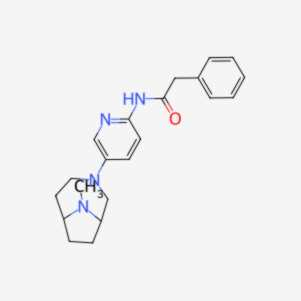 CN1C2CCC1CN(c1ccc(NC(=O)Cc3ccccc3)nc1)CC2